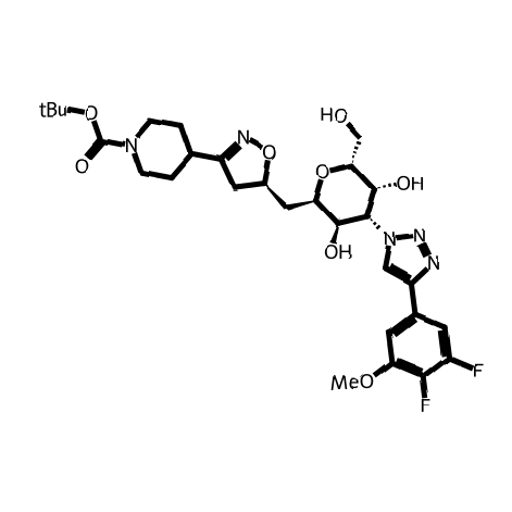 COc1cc(-c2cn([C@H]3[C@@H](O)[C@@H](CO)O[C@H](C[C@H]4CC(C5CCN(C(=O)OC(C)(C)C)CC5)=NO4)[C@@H]3O)nn2)cc(F)c1F